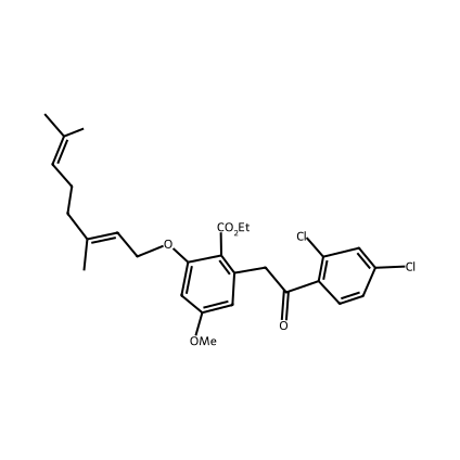 CCOC(=O)c1c(CC(=O)c2ccc(Cl)cc2Cl)cc(OC)cc1OC/C=C(\C)CCC=C(C)C